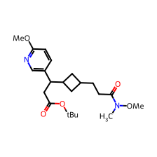 COc1ccc(C(CC(=O)OC(C)(C)C)C2CC(CCC(=O)N(C)OC)C2)cn1